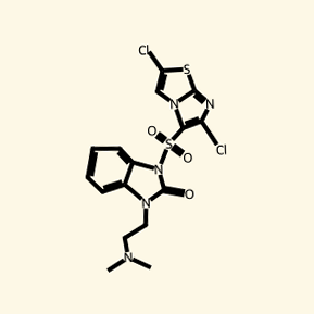 CN(C)CCn1c(=O)n(S(=O)(=O)c2c(Cl)nc3sc(Cl)cn23)c2ccccc21